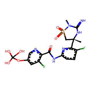 CN1C(=N)N[C@](C)(c2nc(NC(=O)c3ncc(OC(O)(O)O)cc3F)ccc2F)CS1(=O)=O